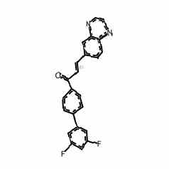 O=C(/C=C/c1ccc2nccnc2c1)c1ccc(-c2cc(F)cc(F)c2)cc1